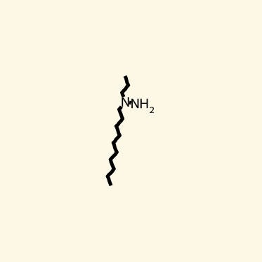 CCCCCCCCCCN(N)CCC